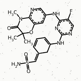 CN1C(=O)C(C)(C)Oc2cc(Nc3nc(NC4=CC=CC(=CS(N)(=O)=O)C4)ncc3F)cnc21